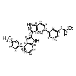 CCNCc1cncc(-c2ccc3[nH]nc(-c4cc5c(-c6ccc(C)s6)nccc5[nH]4)c3n2)c1